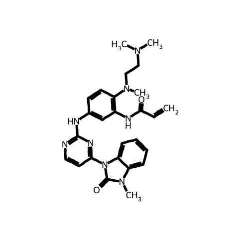 C=CC(=O)Nc1cc(Nc2nccc(-n3c(=O)n(C)c4ccccc43)n2)ccc1N(C)CCN(C)C